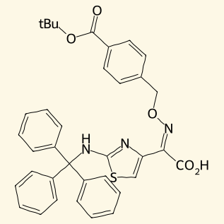 CC(C)(C)OC(=O)c1ccc(CON=C(C(=O)O)c2csc(NC(c3ccccc3)(c3ccccc3)c3ccccc3)n2)cc1